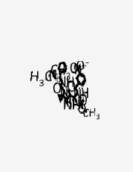 CCOC(=O)NC(NC(=O)c1cccc([N+](=O)[O-])c1)C1=C(N)C2(CC2)N(C(=O)N[C@H](CN(C)C)c2ccccc2)C1